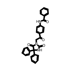 O=C(CN1C(=O)NC(c2ccccc2)(c2ccccc2)C1=O)c1ccc(NC(=O)c2ccccc2)cc1